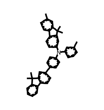 Cc1cccc(N(c2ccc(-c3ccc4c(c3)C(C)(C)c3ccccc3-4)cc2)c2ccc3c(c2)C(C)(C)c2cc(C)ccc2-3)c1